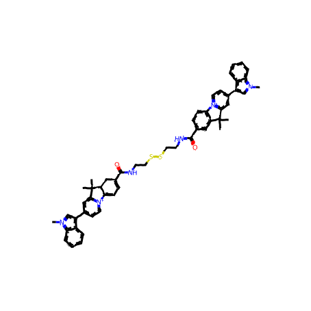 Cn1cc(-c2cc[n+]3c(c2)C(C)(C)C2CC(C(=O)NCCSSCCNC(=O)c4ccc5c(c4)C(C)(C)c4cc(-c6cn(C)c7ccccc67)cc[n+]4-5)=CC=C23)c2ccccc21